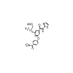 COC[C@@H](C)Oc1cc(C(=O)Nc2nccs2)cc(Oc2ccc(C(=O)N3CCC3)cc2)n1